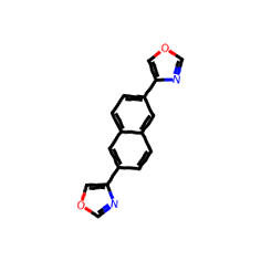 c1nc(-c2ccc3cc(-c4cocn4)ccc3c2)co1